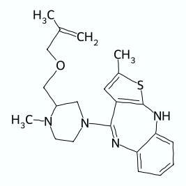 C=C(C)COCC1CN(C2=Nc3ccccc3Nc3sc(C)cc32)CCN1C